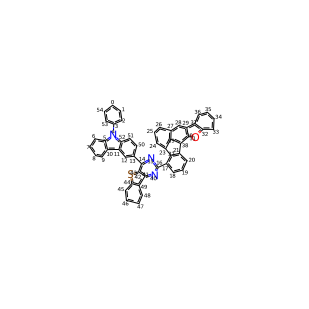 c1ccc(-n2c3ccccc3c3cc(-c4nc(-c5cccc6c5-c5cccc7cc8c(oc9ccccc98)c-6c57)nc5c4sc4ccccc45)ccc32)cc1